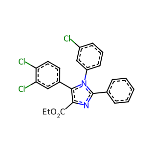 CCOC(=O)c1nc(-c2ccccc2)n(-c2cccc(Cl)c2)c1-c1ccc(Cl)c(Cl)c1